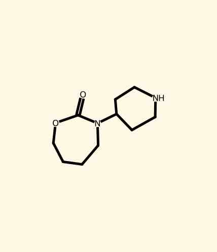 O=C1OCCCCN1C1CCNCC1